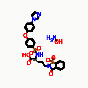 NO.O=C(O)[C@@H](CCCN1C(=O)c2ccccc2S1(=O)=O)NS(=O)(=O)c1ccc(Oc2ccc(-n3ccnc3)cc2)cc1